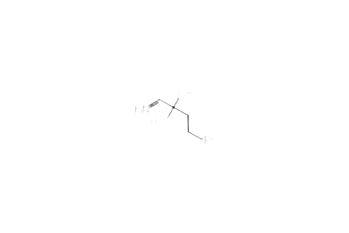 CC(C)CCC(C)(C)C=N